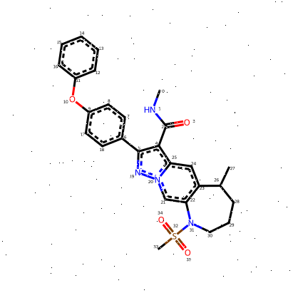 CNC(=O)c1c(-c2ccc(Oc3ccccc3)cc2)nn2cc3c(cc12)C(C)CCCN3S(C)(=O)=O